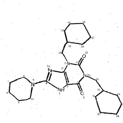 O=c1c2[nH]c(N3CCCCC3)nc2n(CC2CCCCC2)c(=O)n1CC1CCCCC1